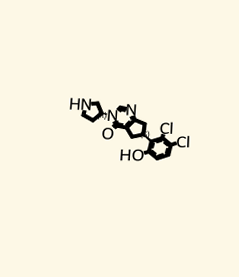 O=c1c2c(ncn1[C@@H]1CCNC1)C[C@@H](c1c(O)ccc(Cl)c1Cl)C2